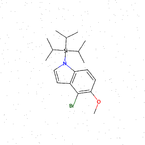 COc1ccc2c(ccn2[Si](C(C)C)(C(C)C)C(C)C)c1Br